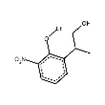 CCOc1c([C](C)CO)cccc1[N+](=O)[O-]